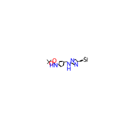 CC(C)(C)OC(=O)Nc1ccc(CNc2cnc(C#C[Si](C)(C)C)cn2)cc1